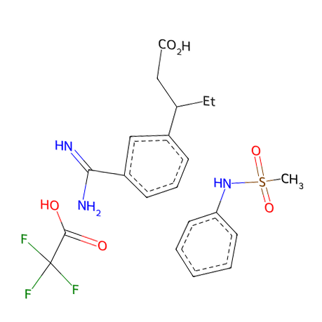 CCC(CC(=O)O)c1cccc(C(=N)N)c1.CS(=O)(=O)Nc1ccccc1.O=C(O)C(F)(F)F